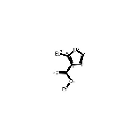 CCOC(=O)c1ccoc1CC